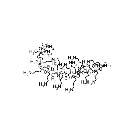 C[SiH](CCCN)O[Si](C)(CCCN)O[Si](C)(CCCN)O[Si](C)(CCCN)O[Si](C)(CCCN)O[Si](C)(CCCN)O[Si](C)(CCCN)O[Si](C)(CCCN)O[Si](C)(CCCN)O[Si](C)(CCCN)O[Si](C)(CCCN)O[Si](C)(CCCN)OO[Si](C)(C)O[Si](C)(C)C